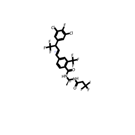 C[C@H](NC(=O)CC(F)(I)I)NC(=O)c1ccc(/C=C/C(c2cc(Cl)c(F)c(Cl)c2)C(F)(F)F)cc1C(F)(F)F